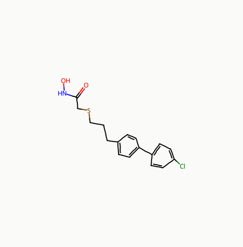 O=C(CSCCCc1ccc(-c2ccc(Cl)cc2)cc1)NO